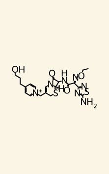 CCON=C(C(=O)NC1C(=O)N2C=C(C[n+]3ccc(CCCO)cc3)CS[C@@H]12)c1nsc(N)n1